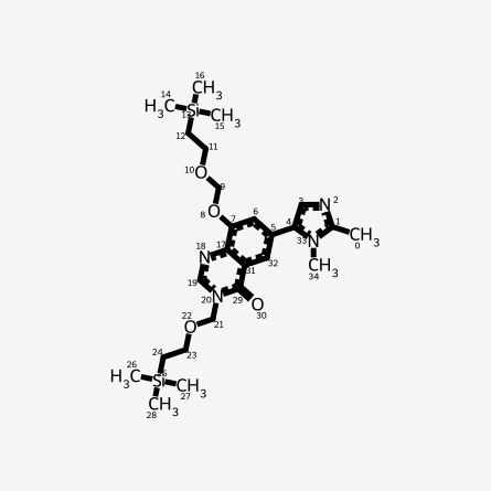 Cc1ncc(-c2cc(OCOCC[Si](C)(C)C)c3ncn(COCC[Si](C)(C)C)c(=O)c3c2)n1C